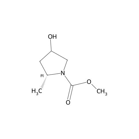 COC(=O)N1CC(O)C[C@H]1C